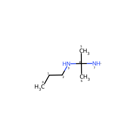 CCCNC(C)(C)[NH]